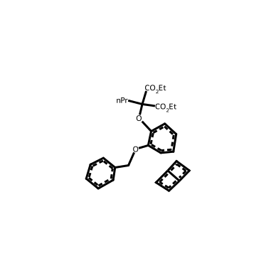 CCCC(Oc1ccccc1OCc1ccccc1)(C(=O)OCC)C(=O)OCC.c1cc2ccc1-2